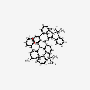 CC(C)(C)c1ccc(N2c3cc(C(C)(C)C)cc4c3B(c3ccc5c(c32)-c2ccccc2C5(C)C)n2c3c(c5cccc-4c52)C(C)(C)c2ccccc2-3)c(-c2ccccc2)c1